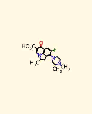 C[C@H]1CN(c2c(F)cc3c(=O)c(C(=O)O)cn4c3c2C[C@@H]4C)CCN1C